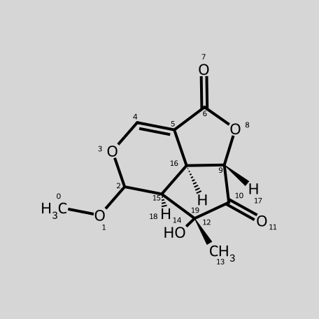 COC1OC=C2C(=O)O[C@@H]3C(=O)[C@](C)(O)[C@@H]1[C@@H]23